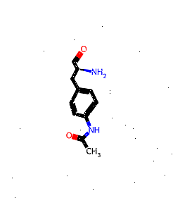 CC(=O)Nc1ccc(C[C@H](N)C=O)cc1